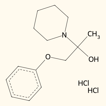 CC(O)(COc1ccccc1)N1CCCCC1.Cl.Cl